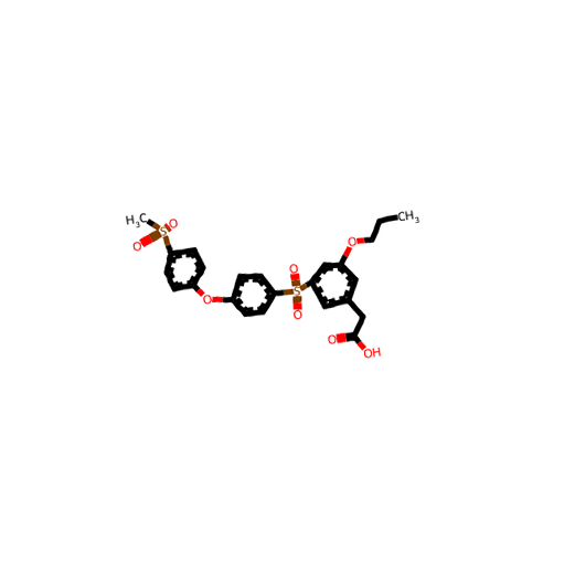 CCCOc1cc(CC(=O)O)cc(S(=O)(=O)c2ccc(Oc3ccc(S(C)(=O)=O)cc3)cc2)c1